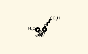 CCCS(=O)(=O)c1nc2ccc(OCCCCCC(=O)O)cc2n1-c1ccc(C)cc1